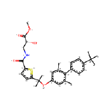 COC(=O)[C@H](O)CNC(=O)c1ccc(C(C)(C)Oc2cc(C)c(-c3ccc(C(C)(C)C)cc3)c(C)c2)s1